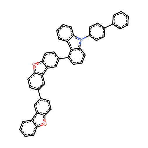 c1ccc(-c2ccc(-n3c4ccccc4c4c(-c5ccc6oc7ccc(-c8ccc9oc%10ccccc%10c9c8)cc7c6c5)cccc43)cc2)cc1